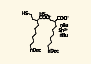 CCCCCCCCCCCCCCCCC(CCS)C(=O)[O-].CCCCCCCCCCCCCCCCC(CCS)C(=O)[O-].CCC[CH2][Sn+2][CH2]CCC